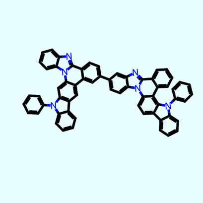 c1ccc(-n2c3ccccc3c3cc4c5cc(-c6ccc7c(c6)nc6c8ccccc8c8c9c(ccc8n76)c6ccccc6n9-c6ccccc6)ccc5c5nc6ccccc6n5c4cc32)cc1